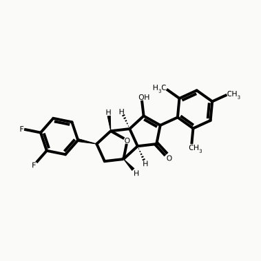 Cc1cc(C)c(C2=C(O)[C@@H]3[C@@H]4O[C@@H](C[C@H]4c4ccc(F)c(F)c4)[C@@H]3C2=O)c(C)c1